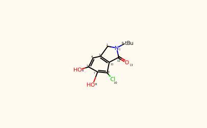 CC(C)(C)N1Cc2cc(O)c(O)c(Cl)c2C1=O